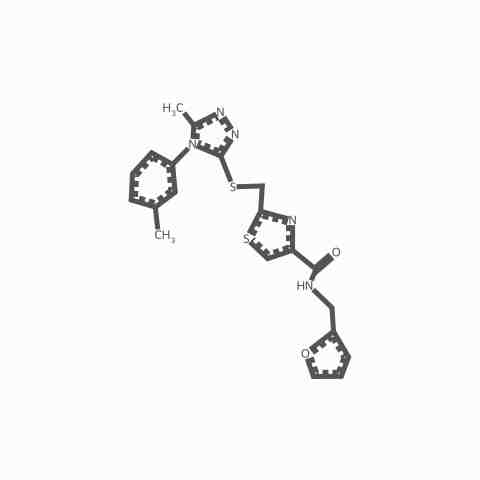 Cc1cccc(-n2c(C)nnc2SCc2nc(C(=O)NCc3ccco3)cs2)c1